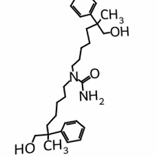 CC(CO)(CCCCCN(CCCCCC(C)(CO)c1ccccc1)C(N)=O)c1ccccc1